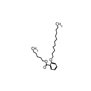 CCCCCCCCCCCCOc1ccccc1C(=O)OCCCCCC